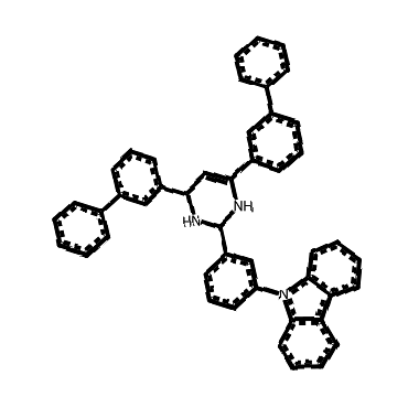 C1=C(c2cccc(-c3ccccc3)c2)NC(c2cccc(-n3c4ccccc4c4ccccc43)c2)NC1c1cccc(-c2ccccc2)c1